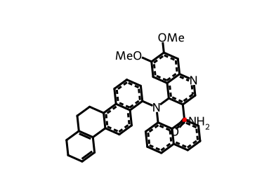 COc1cc2ncc(C(N)=O)c(N(c3cccc4ccccc34)c3cccc4c5c(ccc34)C3=C(CCC=C3)CC5)c2cc1OC